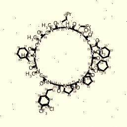 CC(C)CC[C@@H]1NC(=O)[C@H](CC(C)C)N(C)C(=O)C[C@@H](C(=O)N2CCCCC2)N(C)C(=O)[C@H](C2CCCCC2)N(C)C(=O)C2(CCCC2)NC(=O)[C@@H]2CCCN2C(=O)[C@H](CCc2ccc(C(F)(F)F)c(Cl)c2)NC(=O)CN(C)C(=O)[C@H](CC2CCCCC2)N(C)C(=O)CN(C)C(=O)CN(C)C1=O